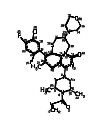 C=CC(=O)N1[C@H](C)CN(c2nc(=O)n3c4c(c(-c5cc(Cl)c(F)cc5F)c(C)cc24)SC[C@@H](N2CCOCC2)C3)C[C@@H]1C